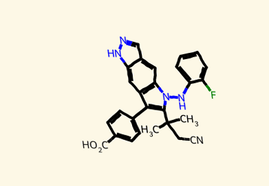 CC(C)(CC#N)c1c(-c2ccc(C(=O)O)cc2)c2cc3[nH]ncc3cc2n1Nc1ccccc1F